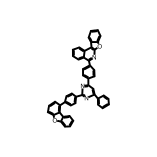 c1ccc(-c2cc(-c3ccc(-c4nc5oc6ccccc6c5c5ccccc45)cc3)nc(-c3ccc(-c4cccc5oc6ccccc6c45)cc3)n2)cc1